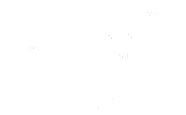 C=C/C(=C\C(=C)c1ccc(OC)c2nc(NC(=O)C3CCC(C)(O)CC3)[nH]c12)OCCOC